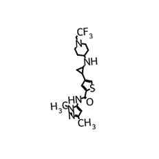 Cc1cc(NC(=O)c2cc(C3CC3NC3CCN(CC(F)(F)F)CC3)cs2)n(C)n1